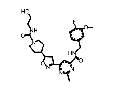 COc1cc(CNC(=O)c2cc(C3=NOC(C4CCN(C(=O)NCCO)CC4)C3)nc(C)n2)ccc1F